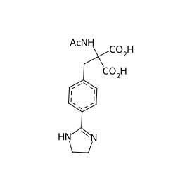 CC(=O)NC(Cc1ccc(C2=NCCN2)cc1)(C(=O)O)C(=O)O